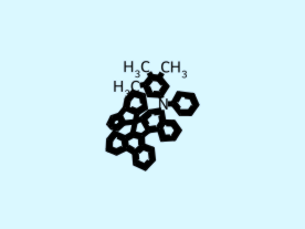 Cc1cc(N(c2ccccc2)c2cc3c(c4ccccc24)-c2c(c4ccccc4c4ccccc24)C32c3ccccc3-c3ccccc32)cc(C)c1C